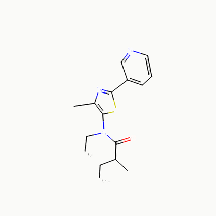 COCN(C(=O)C(C)CSC)c1sc(-c2cccnc2)nc1C